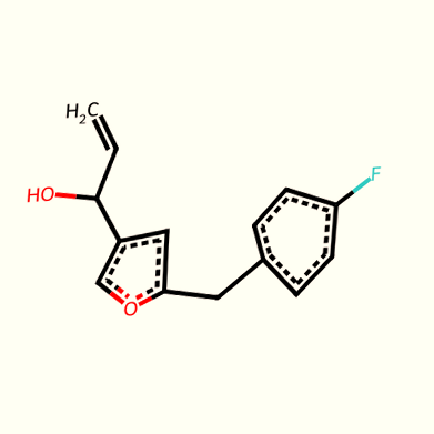 C=CC(O)c1coc(Cc2ccc(F)cc2)c1